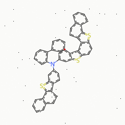 c1ccc(-c2ccccc2N(c2ccc3c(c2)sc2c4ccccc4ccc32)c2ccc3c(c2)sc2ccc4sc5c6ccccc6ccc5c4c23)cc1